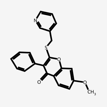 COc1ccc2c(=O)c(-c3ccccc3)c(SCc3cccnc3)oc2c1